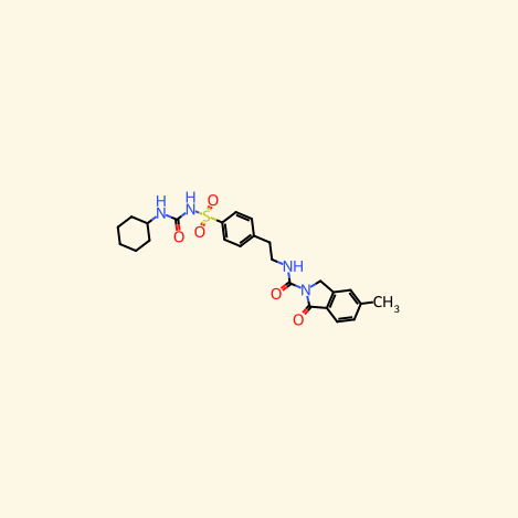 Cc1ccc2c(c1)CN(C(=O)NCCc1ccc(S(=O)(=O)NC(=O)NC3CCCCC3)cc1)C2=O